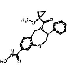 COC1(C(=O)N2Cc3ccc(C(=O)NO)cc3OC[C@@H]2c2ccccc2)CC1